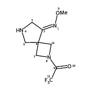 CON=C1CNCC12CN(C(=O)C(F)(F)F)C2